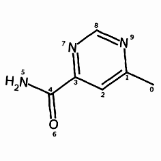 Cc1cc(C(N)=O)ncn1